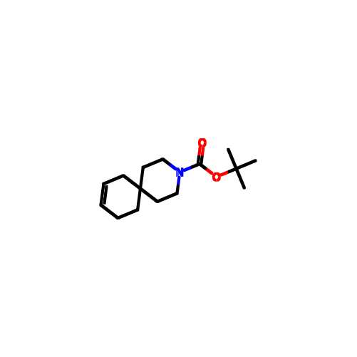 CC(C)(C)OC(=O)N1CCC2(CC=CCC2)CC1